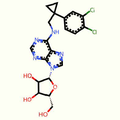 OC[C@H]1O[C@@H](n2cnc3c(NCC4(c5ccc(Cl)c(Cl)c5)CC4)ncnc32)C(O)C1O